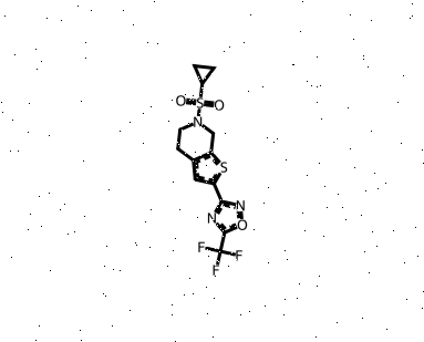 O=S(=O)(C1CC1)N1CCc2cc(-c3noc(C(F)(F)F)n3)sc2C1